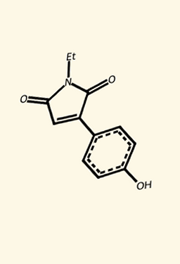 CCN1C(=O)C=C(c2ccc(O)cc2)C1=O